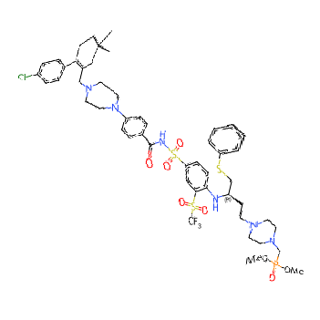 COP(=O)(CN1CCN(CC[C@H](CSc2ccccc2)Nc2ccc(S(=O)(=O)NC(=O)c3ccc(N4CCN(CC5=C(c6ccc(Cl)cc6)CCC(C)(C)C5)CC4)cc3)cc2S(=O)(=O)C(F)(F)F)CC1)OC